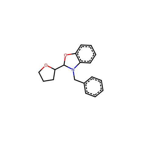 c1ccc(CN2c3ccccc3OC2C2CCCO2)cc1